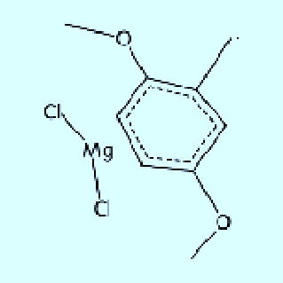 [CH2]c1cc(OC)ccc1OC.[Cl][Mg][Cl]